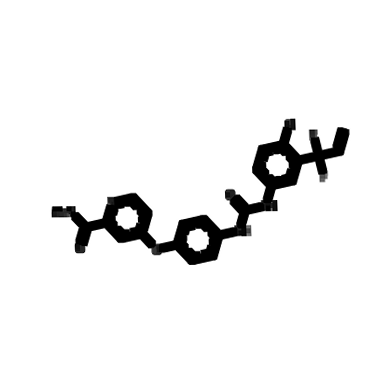 C=CC(F)(F)c1cc(NC(=O)Nc2ccc(Oc3ccnc(C(=O)NC)c3)cc2)ccc1Cl